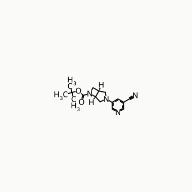 CC(C)(C)OC(=O)N1C[C@@H]2CN(c3cncc(C#N)c3)C[C@@H]21